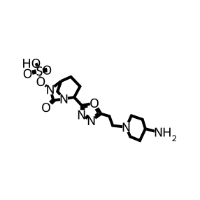 NC1CCN(CCc2nnc(C3CCC4CN3C(=O)N4OS(=O)(=O)O)o2)CC1